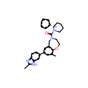 Cc1nc2ccc(-c3cc(C)c4c(c3)CN(C(=O)N3CCCC[C@H]3c3ccccc3)CCO4)cc2[nH]1